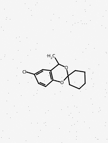 [CH2]C1OC2(CCCCC2)Oc2ccc(Cl)cc21